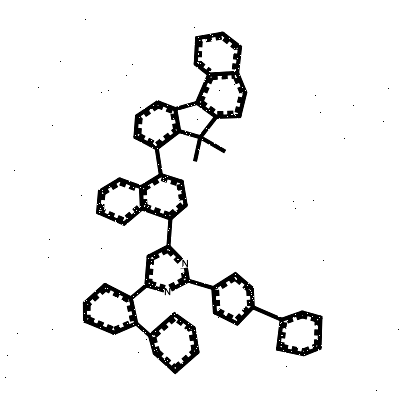 CC1(C)c2ccc3ccccc3c2-c2cccc(-c3ccc(-c4cc(-c5ccccc5-c5ccccc5)nc(-c5ccc(-c6ccccc6)cc5)n4)c4ccccc34)c21